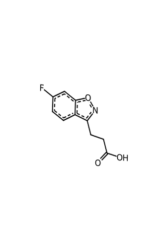 O=C(O)CCc1noc2cc(F)ccc12